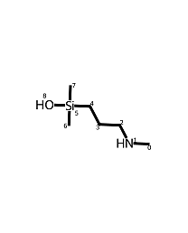 CNCCC[Si](C)(C)O